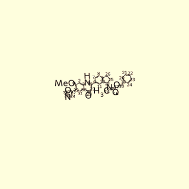 COc1cc2[nH]c(-c3ccc4c(c3)C(N(C)C(=O)OCc3ccccc3)CC4)cc(=O)c2cc1-c1cnco1